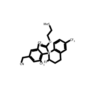 CCC1CCc2cc(C(F)(F)F)ccc2[N+]1(C(=O)OCCSC)c1c(C(F)(F)F)cc(CC#N)cc1C(F)(F)F